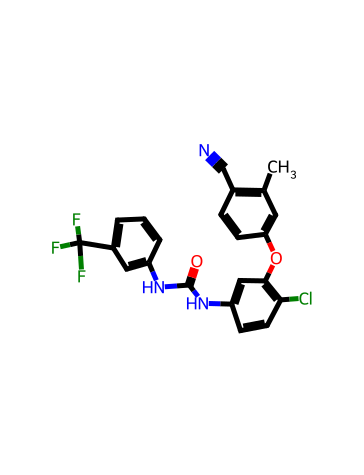 Cc1cc(Oc2cc(NC(=O)Nc3cccc(C(F)(F)F)c3)ccc2Cl)ccc1C#N